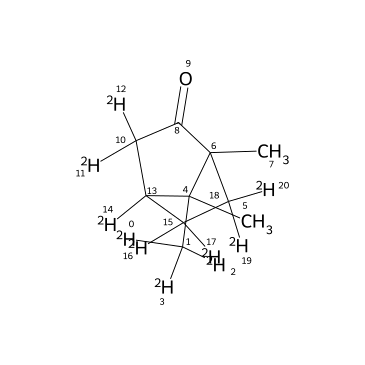 [2H]C([2H])([2H])C1(C)C2(C)C(=O)C([2H])([2H])C1([2H])C([2H])([2H])C2([2H])[2H]